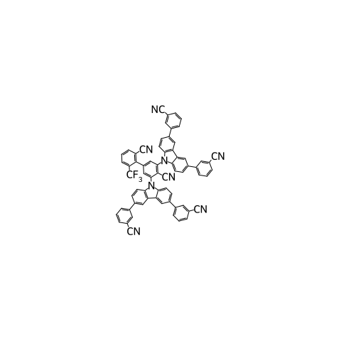 N#Cc1cccc(-c2ccc3c(c2)c2cc(-c4cccc(C#N)c4)ccc2n3-c2cc(-c3c(C#N)cccc3C(F)(F)F)cc(-n3c4ccc(-c5cccc(C#N)c5)cc4c4cc(-c5cccc(C#N)c5)ccc43)c2C#N)c1